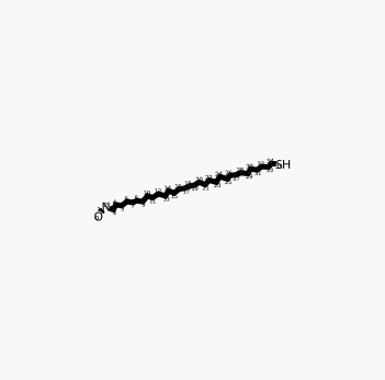 O=C=NCCCCCCCCCCCCCCCCCCCCCCCCCCCCCCCCS